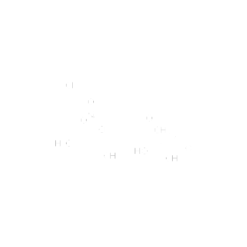 CCO[Si](CCCOc1ccccc1C(=O)C(C)(C)O)(OCC)OCC